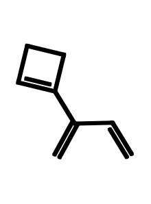 C=CC(=C)C1=CCC1